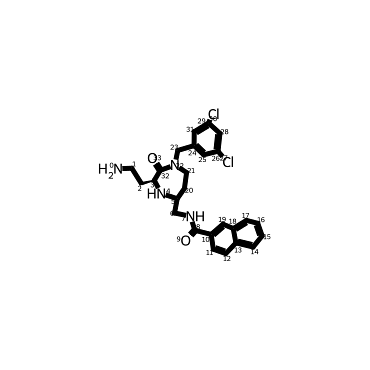 NCC[C@@H]1NC(CNC(=O)c2ccc3ccccc3c2)CCN(Cc2cc(Cl)cc(Cl)c2)C1=O